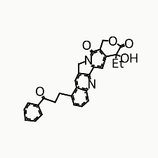 CCC1(O)C(=O)OCc2c1cc1n(c2=O)Cc2cc3c(CCC(=O)c4ccccc4)cccc3nc2-1